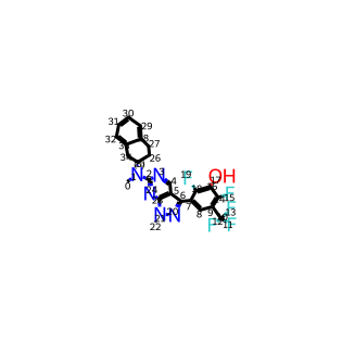 CN(c1ncc2c(-c3cc(C(F)(F)F)c(F)c(O)c3F)nn(C)c2n1)[C@H]1CCc2ccccc2C1